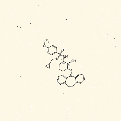 O=S(=NCC1CC1)(N[C@@H]1CCCC(SN2c3ccccc3CCc3ccccc32)[C@@H]1O)c1ccc(OC(F)(F)F)cc1